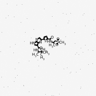 C[C@H](CS(C)(=O)=O)NC(=O)c1ccc(-c2cnc3[nH]cc(C(=O)N[C@@H](C)C(C)(C)C)c3n2)s1